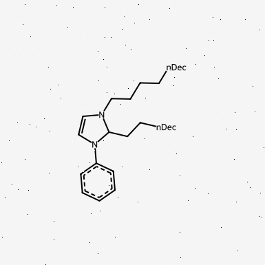 CCCCCCCCCCCCCCN1C=CN(c2ccccc2)C1CCCCCCCCCCCC